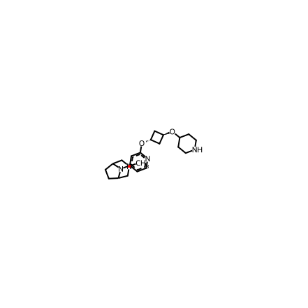 CN1CC2CCC(C1)N2c1ccnc(O[C@H]2C[C@H](OC3CCNCC3)C2)c1